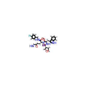 N=CC(=O)CC[C@H](NC(=O)[C@H](Cc1c[nH]c2ccccc12)NC(=O)[C@H]1CCOC1)C(=O)NCc1ccc(F)cc1